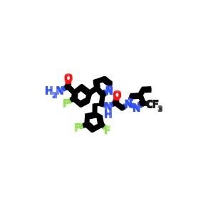 C=Cc1cn(CC(=O)N[C@@H](Cc2cc(F)cc(F)c2)c2ncccc2-c2ccc(F)c(C(N)=O)c2)nc1C(F)(F)F